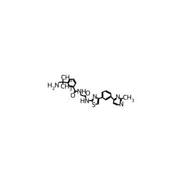 Cc1nccc(-c2cccc(-c3csc(NC(=O)CNC(=O)c4cccc(C(C)(C)CN)c4)n3)c2)n1